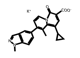 Cc1c(-c2ccc3c(cnn3C)c2)ccn2c(=O)c(C(=O)[O-])cc(C3CC3)c12.[K+]